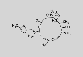 C/C1=C/C[C@@H](/C(C)=C/c2csc(C)n2)OC(=O)C[C@@H](O)C(C)(C)[SH2+]([O-])[C@H](C)[C@@H](O)[C@@H](C)/C=C\C1